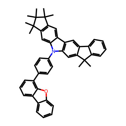 CC1(C)c2ccccc2-c2cc3c4cc5c(cc4n(-c4ccc(-c6cccc7c6oc6ccccc67)cc4)c3cc21)C(C)(C)C(C)(C)C5(C)C